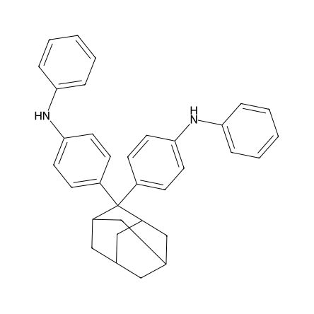 c1ccc(Nc2ccc(C3(c4ccc(Nc5ccccc5)cc4)C4CC5CC(C4)CC3C5)cc2)cc1